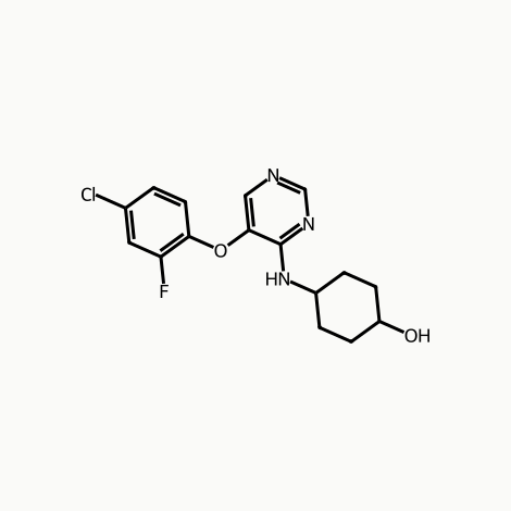 OC1CCC(Nc2ncncc2Oc2ccc(Cl)cc2F)CC1